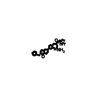 CCCN(CCC)C(=O)C1=Cc2ccc(-c3ccc4c(=O)n(Cc5ccccc5)ccc4c3)cc2N=C(N)C1